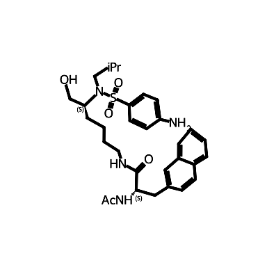 CC(=O)N[C@@H](Cc1ccc2ccccc2c1)C(=O)NCCCC[C@@H](CO)N(CC(C)C)S(=O)(=O)c1ccc(N)cc1